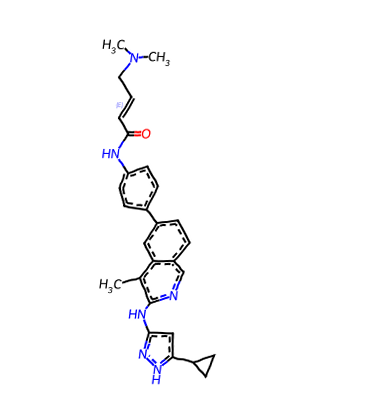 Cc1c(Nc2cc(C3CC3)[nH]n2)ncc2ccc(-c3ccc(NC(=O)/C=C/CN(C)C)cc3)cc12